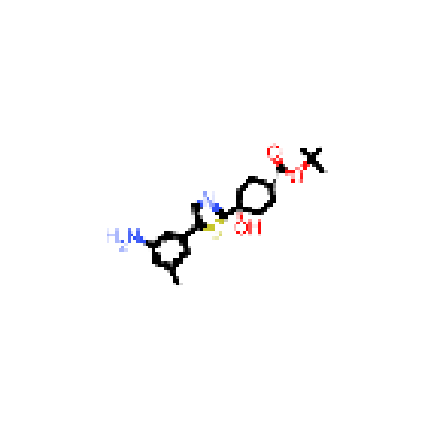 Cc1cc(N)cc(-c2cnc([C@]3(O)CC[C@H](C(=O)OC(C)(C)C)CC3)s2)c1